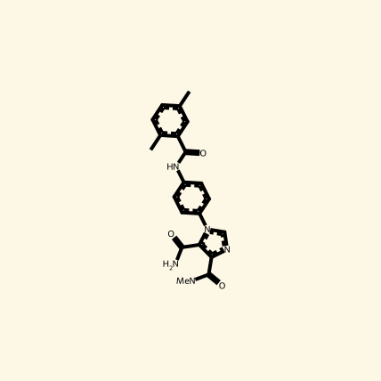 CNC(=O)c1ncn(-c2ccc(NC(=O)c3cc(C)ccc3C)cc2)c1C(N)=O